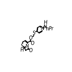 CCCN[n+]1ccc(SCOC(=O)C2=CCS[C@H]3CC(=O)N23)cc1